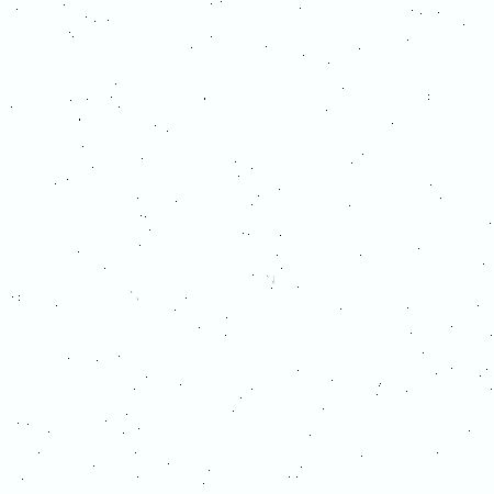 c1ccc(-c2ccc(-n3c4ccccc4c4ccc(N(c5cccc(-c6ccccc6)c5)c5cccc(-c6ccccc6)c5)cc43)cc2)cc1